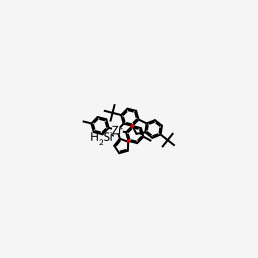 Cc1cc[c]([Zr](=[SiH2])([C]2=CC=CC2)([c]2ccc(C)cc2)[c]2c(C(C)(C)C)ccc3c2Cc2cc(C(C)(C)C)ccc2-3)cc1